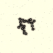 c1ccc(-c2ccc(-c3nc(-c4ccccc4)nc(-c4ccc(-c5ccc6c(ccc7cc(-c8ccccc8-c8ccc(-c9nc(-c%10ccccc%10)nc(-c%10cccc%11oc%12c(-c%13ccc%14c(ccc%15ccccc%15%14)c%13)cccc%12c%10%11)n9)cc8)ccc76)c5)c5oc6ccccc6c45)n3)cc2)cc1